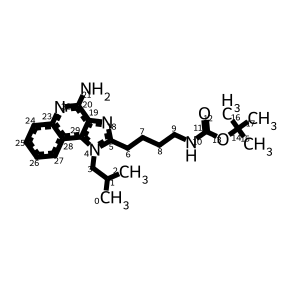 CC(C)Cn1c(CCCCNC(=O)OC(C)(C)C)nc2c(N)nc3ccccc3c21